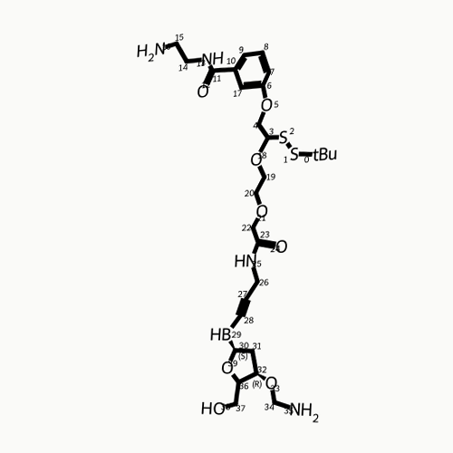 CC(C)(C)SSC(COc1cccc(C(=O)NCCN)c1)OCCOCC(=O)NCC#CB[C@H]1C[C@@H](OCN)C(CO)O1